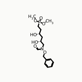 COP(=O)(CC[C@@H](O)C[C@@H](O)CN(C=O)OCc1ccccc1)OC